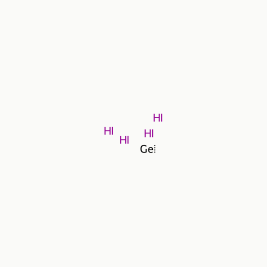 I.I.I.I.[Ge]